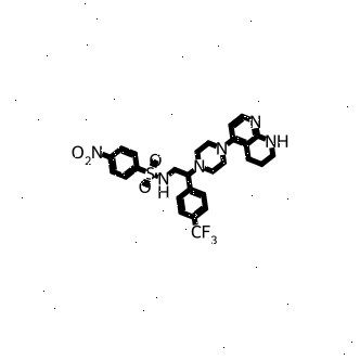 O=[N+]([O-])c1ccc(S(=O)(=O)NCC(c2ccc(C(F)(F)F)cc2)N2CCN(c3ccnc4c3CCCN4)CC2)cc1